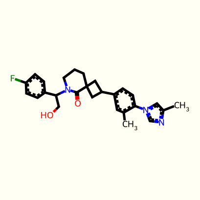 Cc1cn(-c2ccc(C3CC4(CCCN(C(CO)c5ccc(F)cc5)C4=O)C3)cc2C)cn1